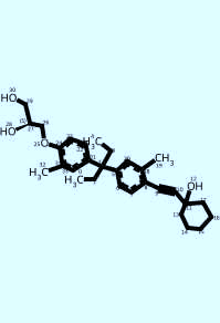 CCC(CC)(c1ccc(C#CC2(O)CCCCC2)c(C)c1)c1ccc(OC[C@@H](O)CO)c(C)c1